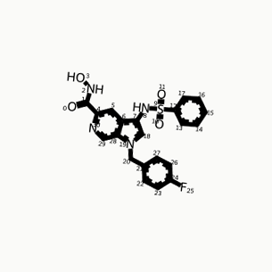 O=C(NO)c1cc2c(NS(=O)(=O)c3ccccc3)cn(Cc3ccc(F)cc3)c2cn1